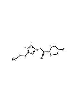 CCN1CCN(C(=O)Cn2cc(CCO)nn2)CC1